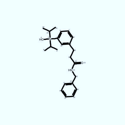 CC(C)[Si](O)(c1cccc(CCC(=O)NCc2ccccc2)c1)C(C)C